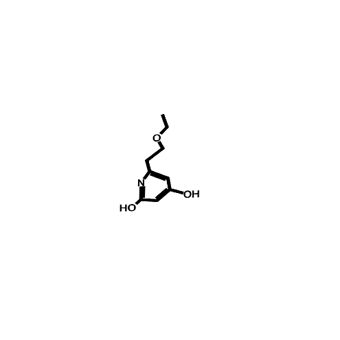 CCOCCc1cc(O)cc(O)n1